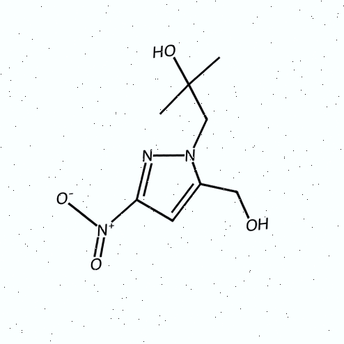 CC(C)(O)Cn1nc([N+](=O)[O-])cc1CO